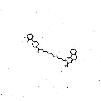 Cc1cccc(N2CCN(C(=O)CCCCCCCCCCn3nc4c(cc3=N)CCc3ccccc3-4)CC2)c1C